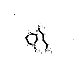 CN1CCOCC1.NCCCCN